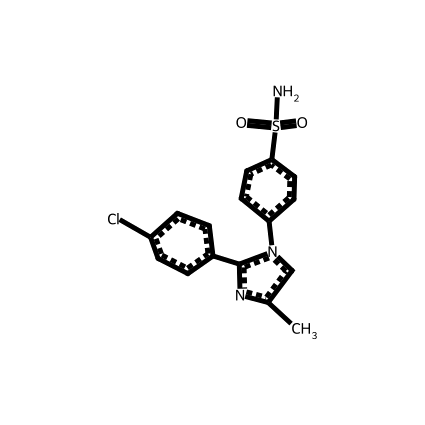 Cc1cn(-c2ccc(S(N)(=O)=O)cc2)c(-c2ccc(Cl)cc2)n1